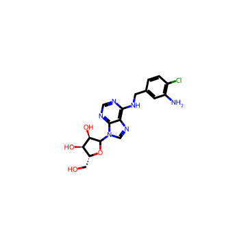 Nc1cc(CNc2ncnc3c2ncn3C2O[C@H](CO)[C@@H](O)[C@H]2O)ccc1Cl